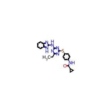 CCc1nc(Nc2nc3ccccc3[nH]2)nc(Sc2ccc(NC(=O)C3CC3)cc2)n1